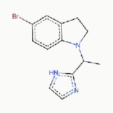 CC(c1ncc[nH]1)N1CCc2cc(Br)ccc21